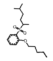 CCCCCOc1ccccc1S(=O)(=O)C(C)CCC(C)C